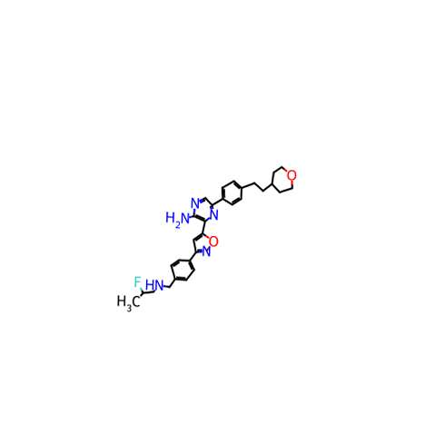 CC(F)CNCc1ccc(-c2cc(-c3nc(-c4ccc(CCC5CCOCC5)cc4)cnc3N)on2)cc1